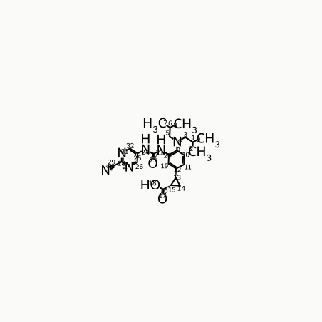 CC(C)CN(CC(C)C)c1ccc([C@H]2C[C@H]2C(=O)O)cc1NC(=O)Nc1cnc(C#N)nc1